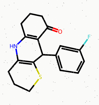 O=C1CCCC2=C1C(c1cccc(F)c1)C1=C(CCCS1)N2